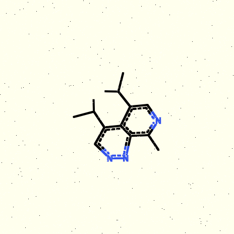 Cc1ncc(C(C)C)c2c(C(C)C)cnnc12